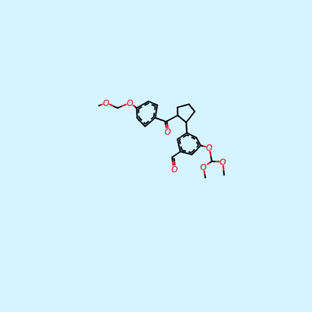 COCOc1ccc(C(=O)C2CCCC2c2cc(C=O)cc(OC(OC)OC)c2)cc1